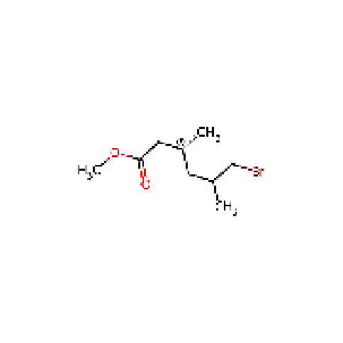 COC(=O)C[C@H](C)CC(C)CBr